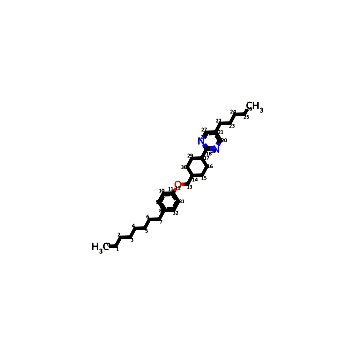 CCCCCCCCc1ccc(OCC2CCC(c3ncc(CCCCC)cn3)CC2)cc1